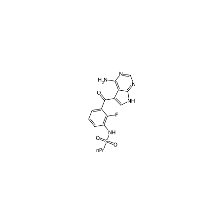 CCCS(=O)(=O)Nc1cccc(C(=O)c2c[nH]c3ncnc(N)c23)c1F